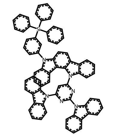 c1ccc([Si](c2ccccc2)(c2ccccc2)c2cccc(-n3c4ccccc4c4c3ccc3c5ccccc5n(-c5cc(-n6c7ccccc7c7ccccc76)nc(-n6c7ccccc7c7ccccc76)n5)c34)c2)cc1